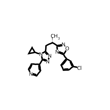 C[C@@H](Cc1nnc(-c2ccncc2)n1C1CC1)c1noc(-c2cccc(Cl)c2)n1